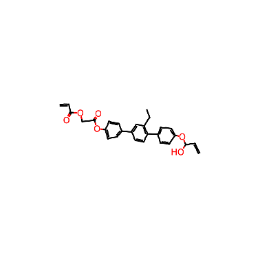 C=CC(=O)OCC(=O)Oc1ccc(-c2ccc(-c3ccc(OC(O)C=C)cc3)c(CC)c2)cc1